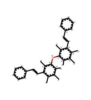 Cc1c(C)c(C=Cc2ccccc2)c(C)c(Oc2c(C)c(C)c(C)c(C=Cc3ccccc3)c2C)c1C